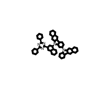 c1ccc(-c2nc(-c3ccccc3)nc(-c3cc(-n4c5cc(-n6c7ccccc7c7cc8ccccc8cc76)ccc5c5cc6ccccc6cc54)c4ccccc4c3)n2)cc1